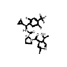 Cc1cc(C(=O)N2CCC[C@@H]2C(=O)NC(c2cc(F)c(C(F)(F)F)cc2F)C2CC2)c(C(C)O)cn1